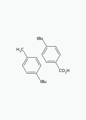 CC(C)(C)c1ccc(C(=O)O)cc1.Cc1ccc(C(C)(C)C)cc1